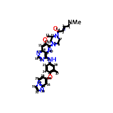 CNC/C=C/C(=O)N1CCN2CC1COc1cc3ncnc(Nc4ccc(Oc5ccn6ccnc6c5)c(C)c4)c3nc12